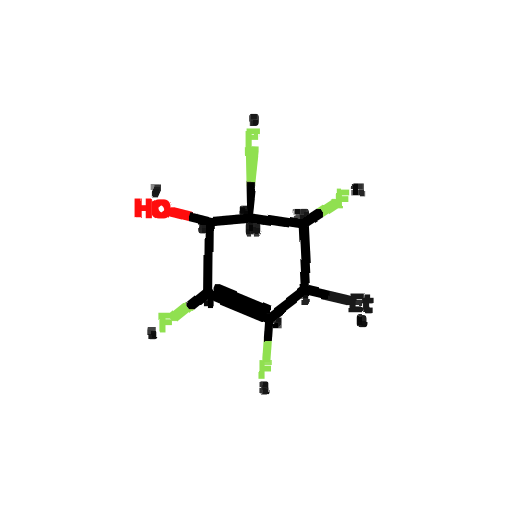 CCC1C(F)=C(F)C(O)[C@@H](F)C1F